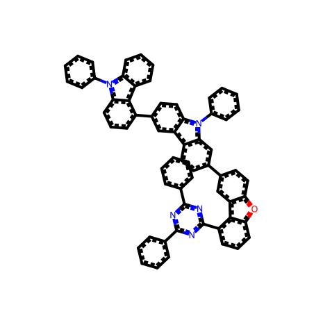 c1ccc(-c2nc(-c3ccccc3)nc(-c3cccc4oc5ccc(-c6ccc7c8cc(-c9cccc%10c9c9ccccc9n%10-c9ccccc9)ccc8n(-c8ccccc8)c7c6)cc5c34)n2)cc1